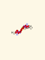 COC(=O)N[C@H](C(=O)N1CC=CC1c1nc2ccc(-c3csc4c(-c5ccc(-c6ccc7nc(C8CCCN8C(=O)[C@H](NC(=O)OC)c8ccccc8)[nH]c7c6)cc5)csc34)cc2[nH]1)C(C)C